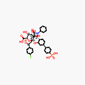 O=C(O)C1O[C@@H](Oc2cc(-c3ccc(P(=O)(O)O)cc3)ccc2[C@@H]2[C@@H](CC[C@H](O)c3ccc(F)cc3)C(=O)N2c2ccccc2)C(O)[C@@H](O)[C@@H]1O